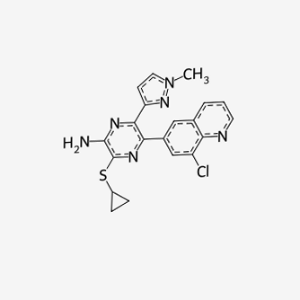 Cn1ccc(-c2nc(N)c(SC3CC3)nc2-c2cc(Cl)c3ncccc3c2)n1